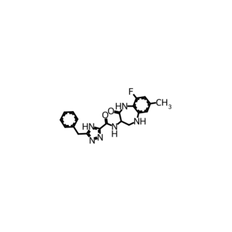 Cc1cc(F)c2c(c1)NCC(NC(=O)c1nnc(Cc3ccccc3)[nH]1)C(=O)N2